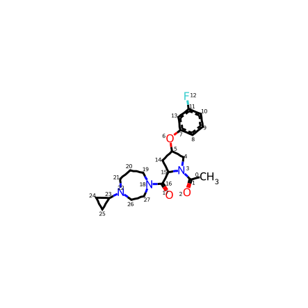 CC(=O)N1CC(Oc2cccc(F)c2)CC1C(=O)N1CCCN(C2CC2)CC1